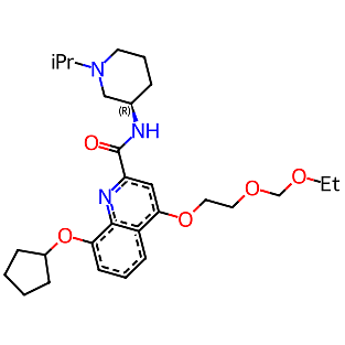 CCOCOCCOc1cc(C(=O)N[C@@H]2CCCN(C(C)C)C2)nc2c(OC3CCCC3)cccc12